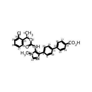 C[C@@H](OC(=O)Nc1c(-c2ccc(-c3ccc(C(=O)O)cc3)cc2)ncn1C)c1ccccc1Cl